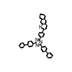 c1ccc(-c2ccc(-c3nc(-c4ccc(-c5ccccc5)cc4)nc(-c4ccc(-c5ccc6cc7ccccc7cc6n5)cc4)n3)cc2)cc1